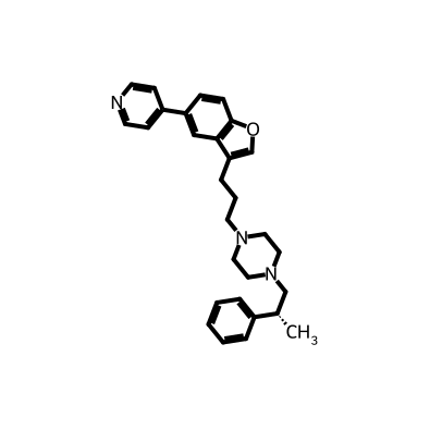 C[C@@H](CN1CCN(CCCc2coc3ccc(-c4ccncc4)cc23)CC1)c1ccccc1